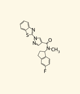 CN(C(=O)c1cnn(-c2nc3ccccc3s2)c1)C1CCc2cc(F)ccc21